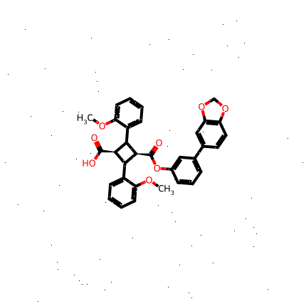 COc1ccccc1C1[C@H](C(=O)O)C(c2ccccc2OC)[C@@H]1C(=O)Oc1cccc(-c2ccc3c(c2)OCO3)c1